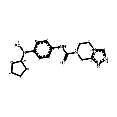 CC(=O)N(c1ccc(NC(=O)N2CCn3cnnc3C2)cc1)C1CCCC1